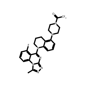 Cc1nnc2nc(N3CCCc4c(N5CCN(C(=O)C(F)(F)F)CC5)cccc43)c3c(F)cccc3n12